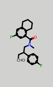 CN(CC(CC=O)c1ccc(F)cc1)C(=O)c1cc(F)cc2c1CCCC2